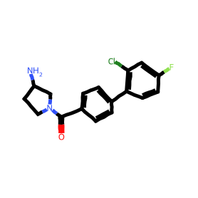 NC1CCN(C(=O)c2ccc(-c3ccc(F)cc3Cl)cc2)C1